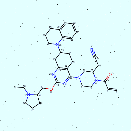 C=CC(=O)N1CCN(c2nc(OCC3CCCN3CC)nc3c2CCC(N2CCCc4ccccc42)C3)CC1CC#N